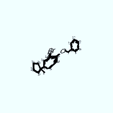 CC1(c2ccc(OCc3ccccc3)c(Br)c2)CCCC1